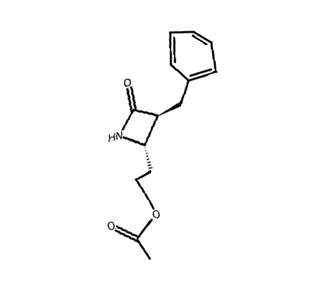 CC(=O)OCC[C@@H]1NC(=O)[C@H]1Cc1ccccc1